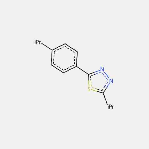 CC(C)c1ccc(-c2nnc(C(C)C)s2)cc1